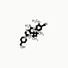 COc1cc(OC2(c3nc(N4CCC(CO)CC4)cnc3C(N)=O)C(C)(C)CC2(C)C)ccc1C#N